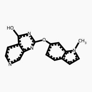 Cn1ccc2ccc(Oc3nc(O)c4ccncc4n3)cc21